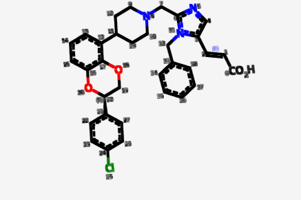 O=C(O)/C=C/c1cnc(CN2CCC(c3cccc4c3OC[C@@H](c3ccc(Cl)cc3)O4)CC2)n1Cc1ccccc1